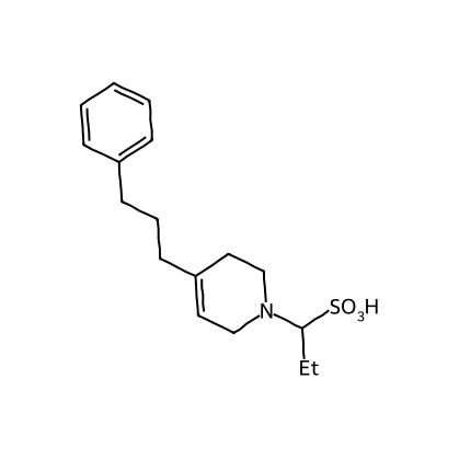 CCC(N1CC=C(CCCc2ccccc2)CC1)S(=O)(=O)O